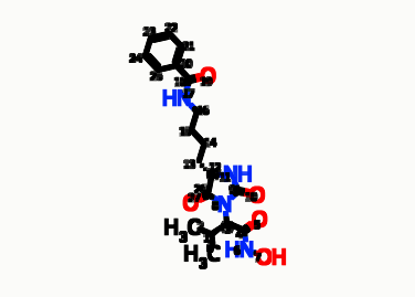 CC(C)[C@H](C(=O)NO)N1C(=O)N[C@@H](CCCCNC(=O)c2ccccc2)C1=O